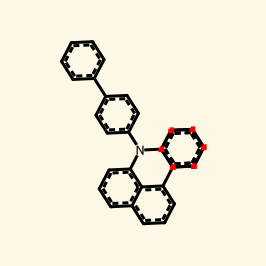 c1ccc(-c2ccc(N(c3ccccc3)c3cccc4cccc(-c5ccccc5)c34)cc2)cc1